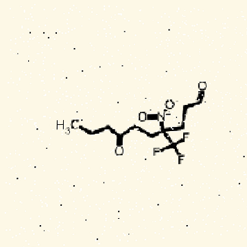 CCCC(=O)CCC(CC[C]=O)([N+](=O)[O-])C(F)(F)F